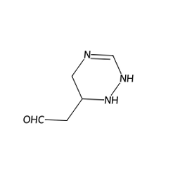 O=CCC1CN=CNN1